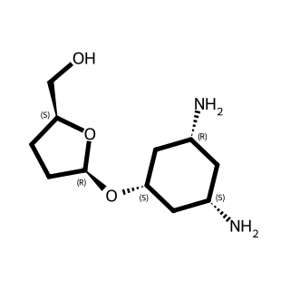 N[C@@H]1C[C@H](N)C[C@H](O[C@H]2CC[C@@H](CO)O2)C1